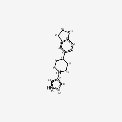 c1cc2c(cc1C1CCN(c3cn[nH]c3)CC1)CCS2